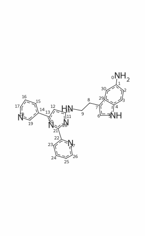 Nc1ccc2[nH]cc(CCNc3cc(-c4cccnc4)nc(-c4ccccn4)n3)c2c1